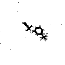 C#CC(C)(C)Oc1cccc(C(F)(F)F)c1